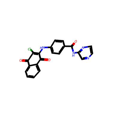 O=C(Nc1cnccn1)c1ccc(NC2=C(Cl)C(=O)c3ccccc3C2=O)cc1